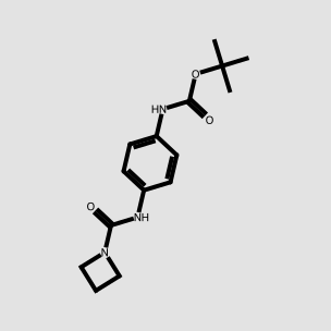 CC(C)(C)OC(=O)Nc1ccc(NC(=O)N2CCC2)cc1